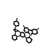 Cc1ccc(C23CC24c2ccccc2-c2cc(-c5ccccc5-n5c6ccc(C)cc6c6cc(C)ccc65)ccc2C34)cc1